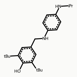 CC(C)Nc1ccc(NCc2cc(C(C)(C)C)c(O)c(C(C)(C)C)c2)cc1